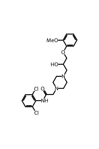 COc1ccccc1OCC(O)CN1CCN(CC(=O)Nc2c(Cl)cccc2Cl)CC1